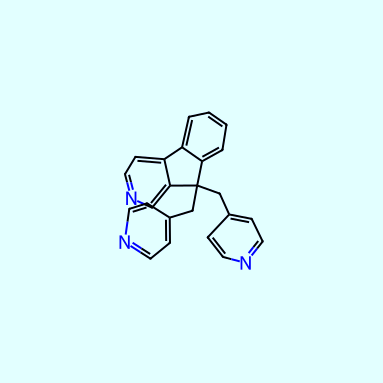 c1ccc2c(c1)-c1ccncc1C2(Cc1ccncc1)Cc1ccncc1